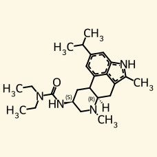 CCN(CC)C(=O)N[C@H]1CC2c3cc(C(C)C)cc4[nH]c(C)c(c34)C[C@H]2N(C)C1